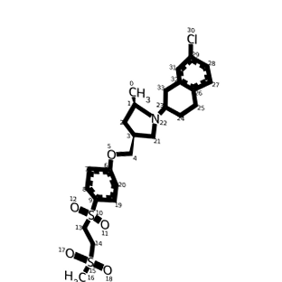 C[C@@H]1C[C@H](COc2ccc(S(=O)(=O)CCS(C)(=O)=O)cc2)CN1C1CCc2ccc(Cl)cc2C1